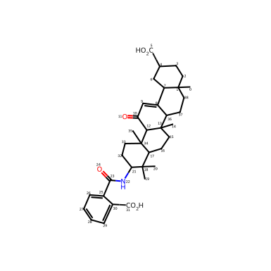 CC12CCC(C(=O)O)CC1C1=CC(=O)C3C(C)(CCC4C(C)(C)C(NC(=O)c5ccccc5C(=O)O)CCC43C)C1CC2